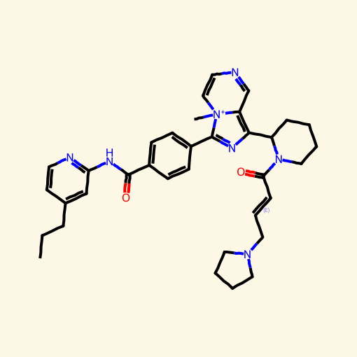 CCCc1ccnc(NC(=O)c2ccc(C3=NC(C4CCCCN4C(=O)/C=C/CN4CCCC4)=C4C=NC=C[N+]34C)cc2)c1